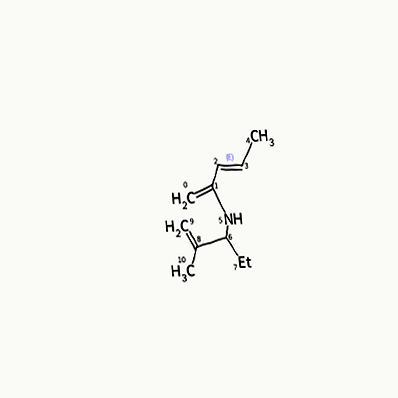 C=C(/C=C/C)NC(CC)C(=C)C